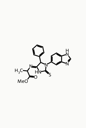 COC(=O)C(C)/N=C1\NC(=S)N(c2ccc3[nH]cnc3c2)C1c1ccccc1